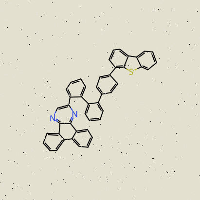 c1ccc(-c2ccccc2-c2cnc3c4ccccc4c4ccccc4c3n2)c(-c2ccc(-c3cccc4c3sc3ccccc34)cc2)c1